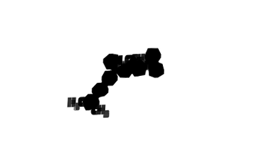 Cc1cc(C)cc(-c2ccc(-c3ccc(N(c4ccccc4)c4ccc5c(c4)C(C)(C)c4cc(-n6c7ccccc7c7ccccc76)ccc4-5)cc3)cc2)c1